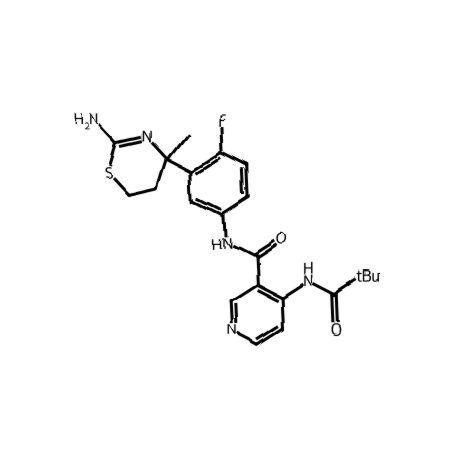 CC(C)(C)C(=O)Nc1ccncc1C(=O)Nc1ccc(F)c(C2(C)CCSC(N)=N2)c1